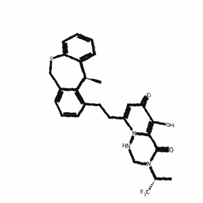 C[C@@H]1c2ccccc2SCc2cccc(CCc3cc(=O)c(O)c4n3NCN([C@H](C)C(F)(F)F)C4=O)c21